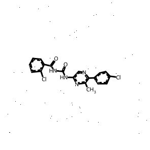 Cc1nc(NC(=O)NC(=O)c2ccccc2Cl)cnc1-c1ccc(Cl)cc1